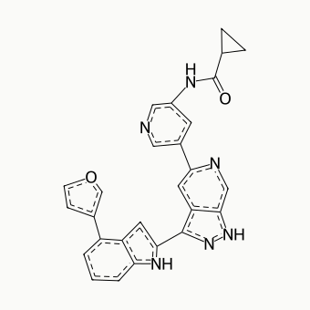 O=C(Nc1cncc(-c2cc3c(-c4cc5c(-c6ccoc6)cccc5[nH]4)n[nH]c3cn2)c1)C1CC1